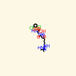 Cc1nc(NCCCCC2CC(C(=O)NCC(NS(=O)(=O)c3c(Cl)cccc3Cl)C(=O)O)=NO2)[nH]c1C